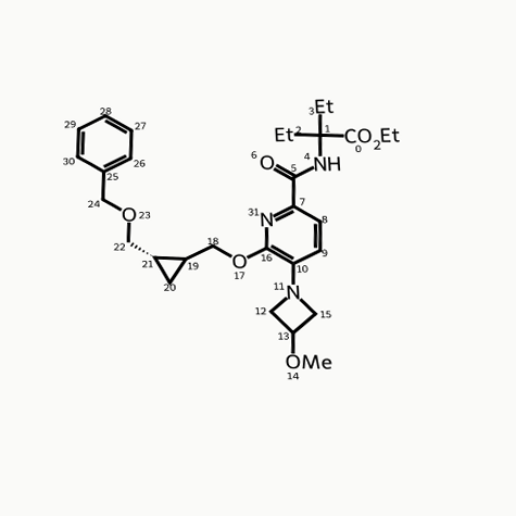 CCOC(=O)C(CC)(CC)NC(=O)c1ccc(N2CC(OC)C2)c(OCC2C[C@@H]2COCc2ccccc2)n1